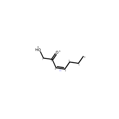 CCC/C=C\C(=O)CO